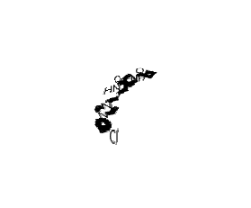 CC(=O)NC1(C(=O)N2CCC3(CC2)C[C@H](CCN2CCN(c4cccc(Cl)c4)CC2)NC3=O)CCC1